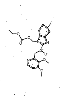 CCOC(=O)OCn1c([S+]([O-])Cc2nccc(OC)c2OC)nc2cc(Cl)ccc21